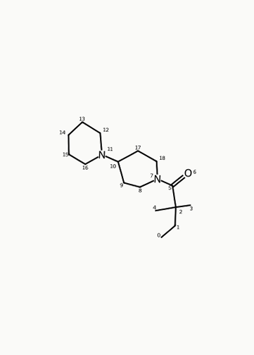 CCC(C)(C)C(=O)N1CCC(N2CCCCC2)CC1